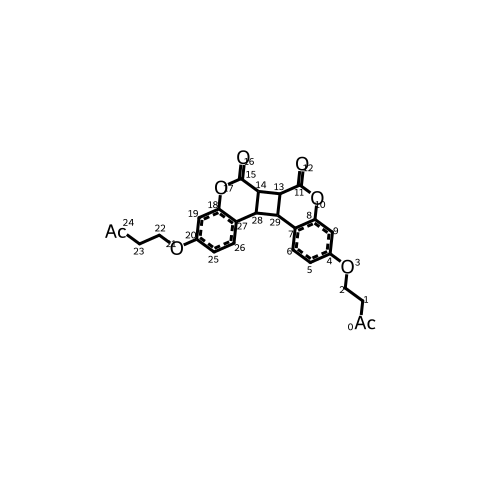 CC(=O)CCOc1ccc2c(c1)OC(=O)C1C3C(=O)Oc4cc(OCCC(C)=O)ccc4C3C21